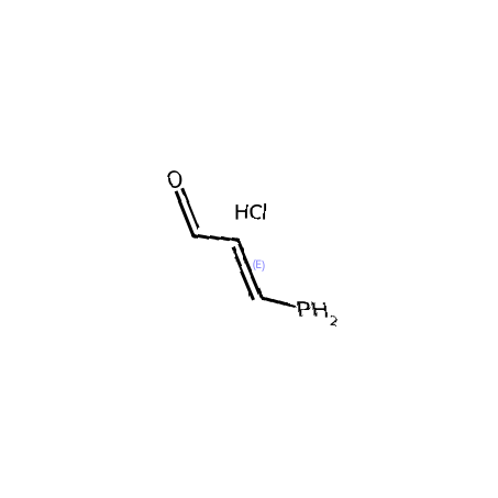 Cl.O=C/C=C/P